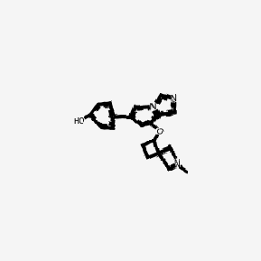 CN1CC2(CCC2Oc2cc(-c3ccc(O)cc3)cn3cncc23)C1